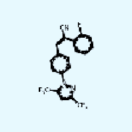 N#CC(=Cc1ccc(-n2nc(C(F)(F)F)cc2C(F)(F)F)cc1)c1ccccc1F